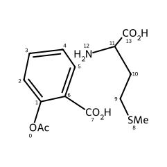 CC(=O)Oc1ccccc1C(=O)O.CSCCC(N)C(=O)O